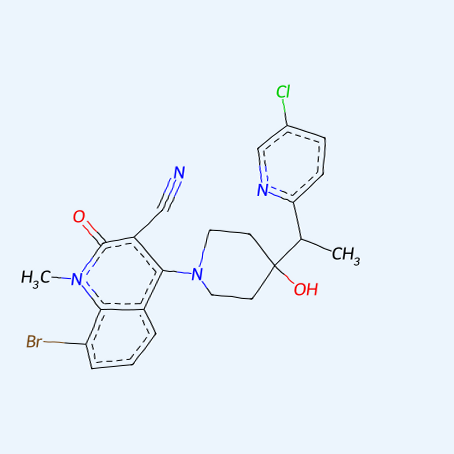 CC(c1ccc(Cl)cn1)C1(O)CCN(c2c(C#N)c(=O)n(C)c3c(Br)cccc23)CC1